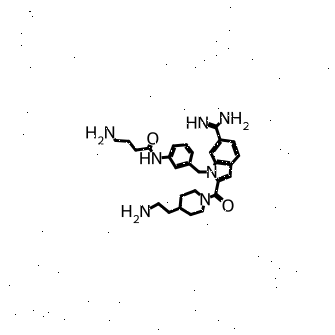 N=C(N)c1ccc2cc(C(=O)N3CCC(CCN)CC3)n(Cc3cccc(NC(=O)CCCN)c3)c2c1